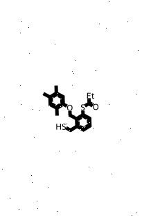 CCC(=O)Sc1cccc(CS)c1COc1cc(C)c(C)cc1C